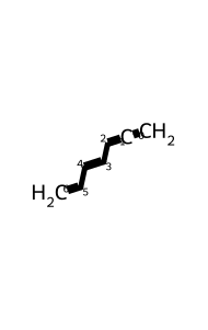 C=C=CC=CC=C